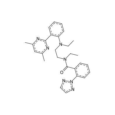 CCN(CCN(CC)c1ccccc1-c1nc(C)cc(C)n1)C(=O)c1ccccc1-n1nccn1